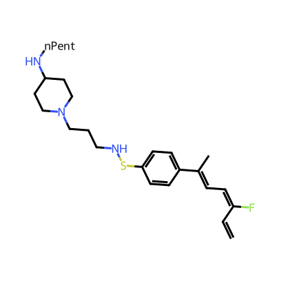 C=C/C(F)=C\C=C(/C)c1ccc(SNCCCN2CCC(NCCCCC)CC2)cc1